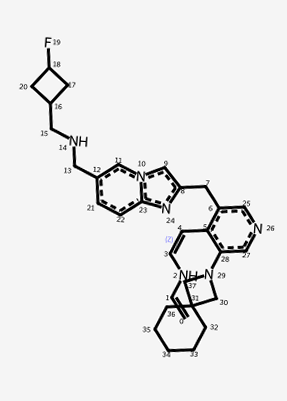 C=CN/C=C\c1c(Cc2cn3cc(CNCC4CC(F)C4)ccc3n2)cncc1N1CC2(CCCCC2)C1